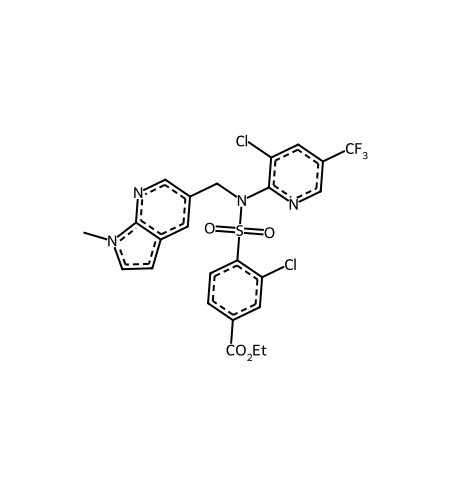 CCOC(=O)c1ccc(S(=O)(=O)N(Cc2cnc3c(ccn3C)c2)c2ncc(C(F)(F)F)cc2Cl)c(Cl)c1